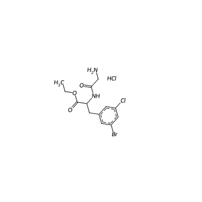 CCOC(=O)C(Cc1cc(Cl)cc(Br)c1)NC(=O)CN.Cl